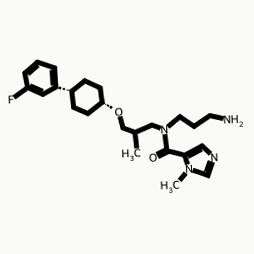 CC(CO[C@H]1CC[C@@H](c2cccc(F)c2)CC1)CN(CCCN)C(=O)c1cncn1C